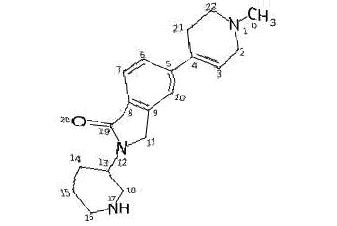 CN1CC=C(c2ccc3c(c2)CN(C2CCCNC2)C3=O)CC1